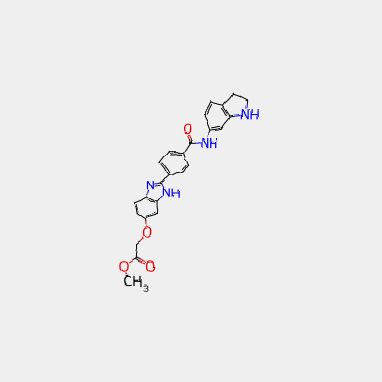 COC(=O)COc1ccc2nc(-c3ccc(C(=O)Nc4ccc5c(c4)NCC5)cc3)[nH]c2c1